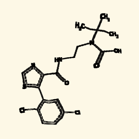 CC(C)(C)N(CCNC(=O)c1ncsc1-c1cc(Cl)ccc1Cl)C(=O)O